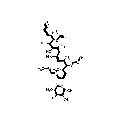 C=C/C=C\[C@H](C)[C@H](OC=O)C(C)[C@H](O)C(C)C/C(C)=C\[C@H](C)[C@@H](OCOC)[C@@H](C)/C=C\[C@H](C[C@@H]1O[C@@H](O)[C@H](C)[C@@H](O)[C@H]1C)OCOC